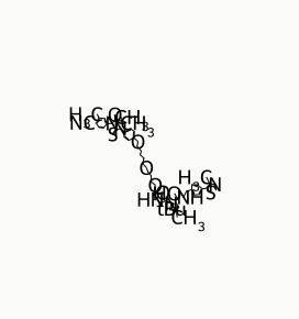 Cc1cc(N2C(=O)C(C)(C)N(c3ccc(OCCCCCOCCCOCC(=O)N[C@H](CN4C[C@H](C)C[C@H]4C(O)NCc4ccc(-c5scnc5C)cc4)C(C)(C)C)cc3)C2=S)ccc1C#N